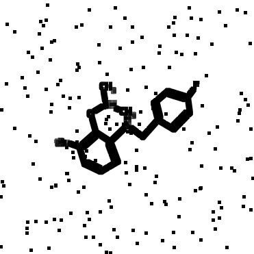 C[SiH](C)Oc1c(NCc2ccc(F)cc2)cccc1C(C)(C)C